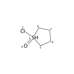 O=[SH]1(Cl)CCCC1